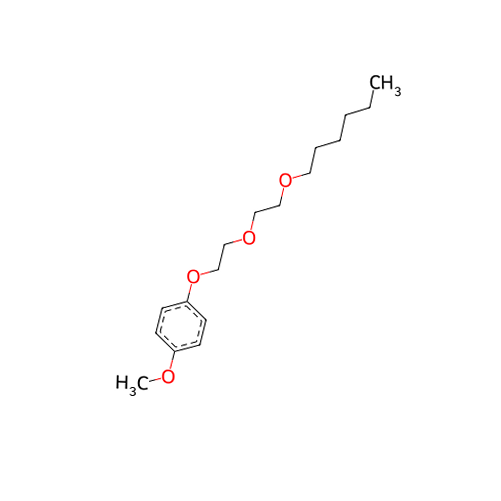 CCCCCCOCCOCCOc1ccc(OC)cc1